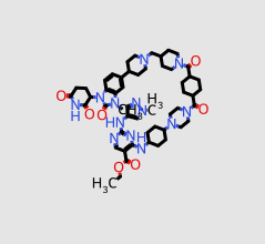 CCOC(=O)c1cnc(Nc2cnn(C)c2)nc1NC1CCC(N2CCN(C(=O)C3CCC(C(=O)N4CCC(CN5CCC(c6ccc7c(c6)n(C)c(=O)n7C6CCC(=O)NC6=O)CC5)CC4)CC3)CC2)CC1